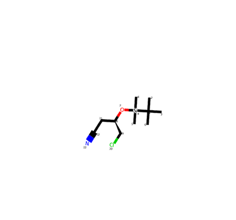 CC(C)(C)[Si](C)(C)O[C@@H](CCl)CC#N